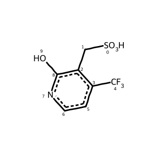 O=S(=O)(O)Cc1c(C(F)(F)F)ccnc1O